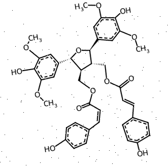 COc1cc([C@@H]2O[C@@H](c3cc(OC)c(O)c(OC)c3)[C@H](COC(=O)/C=C/c3ccc(O)cc3)[C@H]2COC(=O)/C=C\c2ccc(O)cc2)cc(OC)c1O